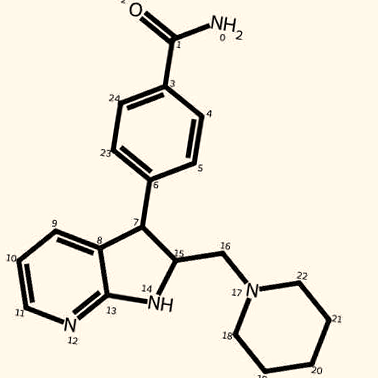 NC(=O)c1ccc(C2c3cccnc3NC2CN2CCCCC2)cc1